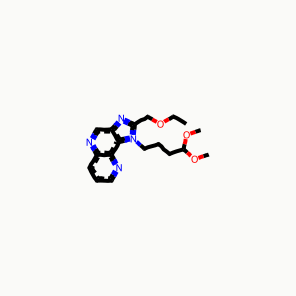 CCOCc1nc2cnc3cccnc3c2n1CCCC(OC)OC